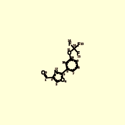 O=Cc1coc(-c2cccc(OC(F)(F)F)c2)n1